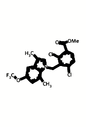 COC(=O)c1ccc(Cl)c(Cn2cc(C)c3cc(OC(F)(F)F)cc(C)c32)c1Cl